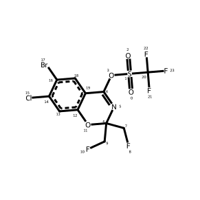 O=S(=O)(OC1=NC(CF)(CF)Oc2cc(Cl)c(Br)cc21)C(F)(F)F